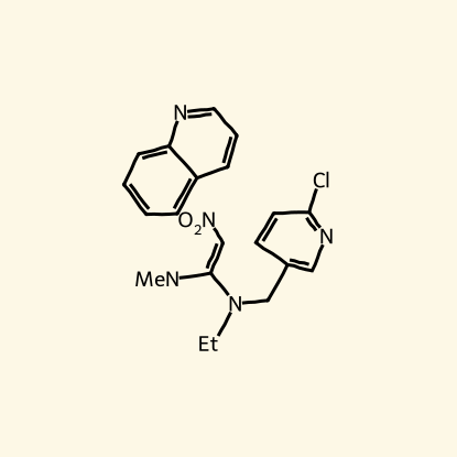 CCN(Cc1ccc(Cl)nc1)C(=C[N+](=O)[O-])NC.c1ccc2ncccc2c1